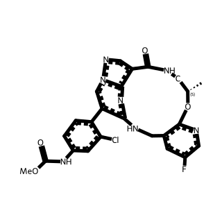 COC(=O)Nc1ccc(-c2cn3ncc4c3nc2NCc2cc(F)cnc2O[C@@H](C)CNC4=O)c(Cl)c1